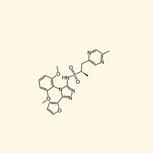 COc1cccc(OC)c1-n1c(NS(=O)(=O)[C@H](C)Cc2cnc(C)cn2)nnc1-c1ccco1